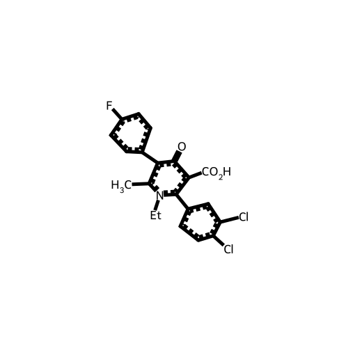 CCn1c(C)c(-c2ccc(F)cc2)c(=O)c(C(=O)O)c1-c1ccc(Cl)c(Cl)c1